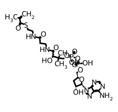 C=C(C)C(=O)SCCNC(=O)CCNC(=O)C(O)C(C)(C)COP(=O)(O)OP(=O)(O)OC[C@@H]1C[C@@H](O)[C@H](n2cnc3c(N)ncnc32)O1